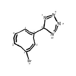 Brc1cccc(C2N=NN=N2)c1